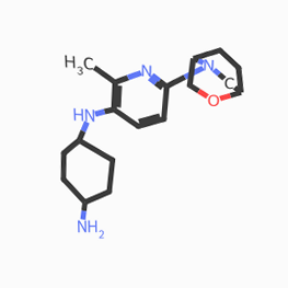 Cc1nc(N2CC3CCC2CO3)ccc1NC1CCC(N)CC1